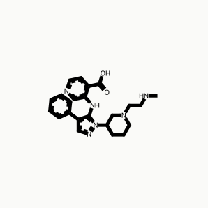 CNCCN1CCCC(n2ncc(-c3ccccc3)c2Nc2cnccc2C(=O)O)C1